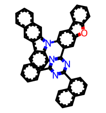 c1ccc(-c2nc(-c3cc4oc5ccccc5c4cc3-n3c4ccccc4c4cc5ccccc5cc43)nc(-c3cccc4ccccc34)n2)cc1